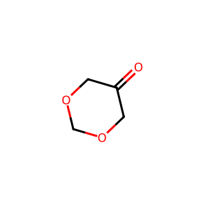 O=C1COCOC1